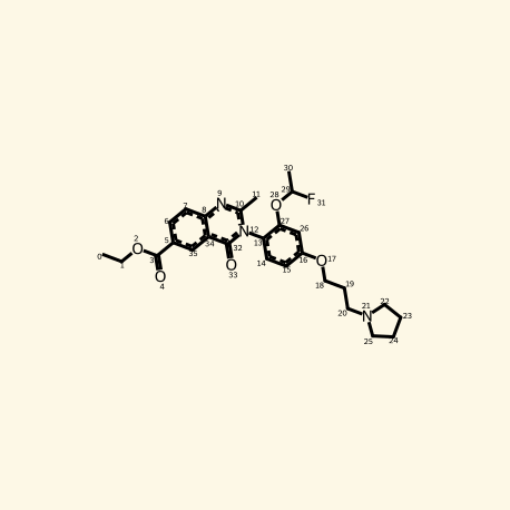 CCOC(=O)c1ccc2nc(C)n(-c3ccc(OCCCN4CCCC4)cc3OC(C)F)c(=O)c2c1